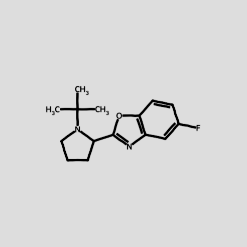 CC(C)(C)N1CCCC1c1nc2cc(F)ccc2o1